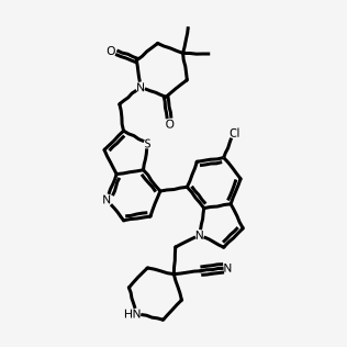 CC1(C)CC(=O)N(Cc2cc3nccc(-c4cc(Cl)cc5ccn(CC6(C#N)CCNCC6)c45)c3s2)C(=O)C1